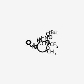 C[C@@H]1CCCCc2cn(Cc3ccccc3)nc2-c2nnc(o2)-c2nc(c(C(F)(F)F)cc2NC(=O)OC(C)(C)C)O1